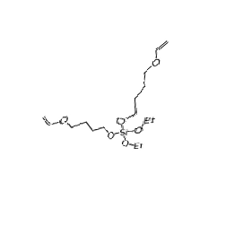 C=COCCCCO[Si](OCC)(OCC)OCCCCOC=C